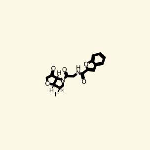 O=C(NCC(=O)N1C[C@@H](F)[C@H]2OCC(=O)[C@H]21)c1cc2ccccc2o1